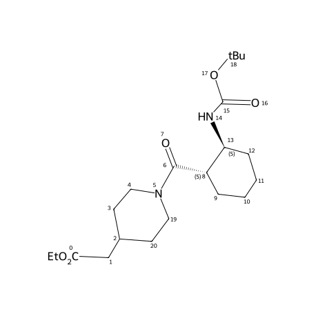 CCOC(=O)CC1CCN(C(=O)[C@H]2CCCC[C@@H]2NC(=O)OC(C)(C)C)CC1